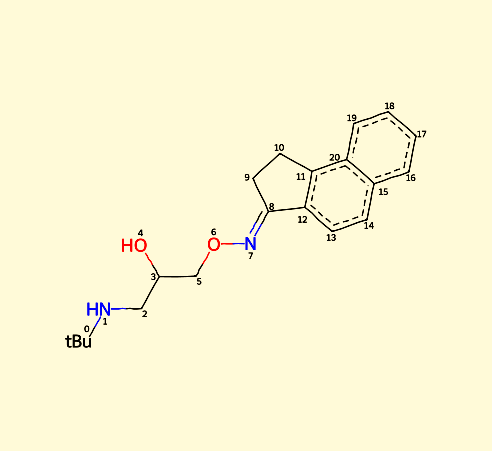 CC(C)(C)NCC(O)CON=C1CCc2c1ccc1ccccc21